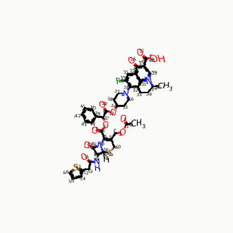 CC(=O)OCC1=C(C(=O)OC(C(=O)OC2CCN(c3c(F)cc4c(=O)c(C(=O)O)cn5c4c3CCC5C)CC2)c2ccccc2)N2C(=O)[C@@H](NC(=O)Cc3cccs3)[C@H]2SC1